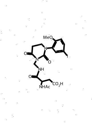 COc1ccc(I)cc1N1CCC(=O)N(CNC(=O)C(CC(=O)O)NC(C)=O)C1=O